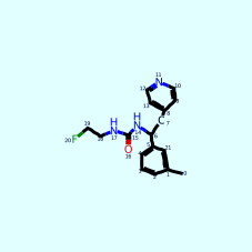 Cc1cccc(C(Cc2ccncc2)NC(=O)NCCF)c1